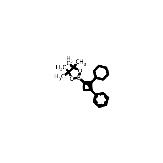 CC1(C)OB(C23CC(c4ccccc4)(C2)C3C2CCCCC2)OC1(C)C